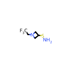 NSC1CN(CC(F)(F)F)C1